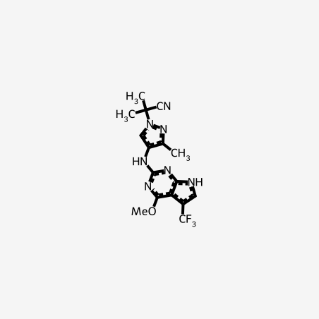 COc1nc(Nc2cn(C(C)(C)C#N)nc2C)nc2[nH]cc(C(F)(F)F)c12